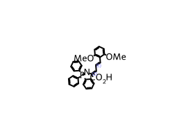 COc1cccc(OC)c1/C=C/C=C(\N=P(c1ccccc1)(c1ccccc1)c1ccccc1)C(=O)O